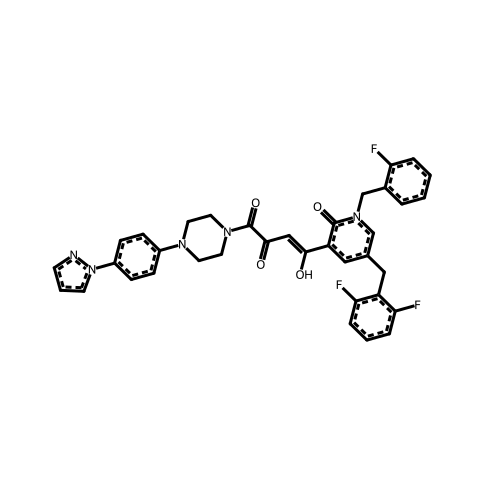 O=C(C=C(O)c1cc(Cc2c(F)cccc2F)cn(Cc2ccccc2F)c1=O)C(=O)N1CCN(c2ccc(-n3cccn3)cc2)CC1